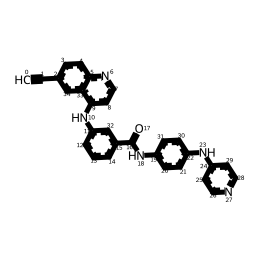 C#Cc1ccc2nccc(Nc3cccc(C(=O)Nc4ccc(Nc5ccncc5)cc4)c3)c2c1